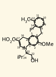 COc1cc2c(cc1Cc1cccc(C)c1F)CC(C(=O)O)=CN2[C@H](CO)C(C)C